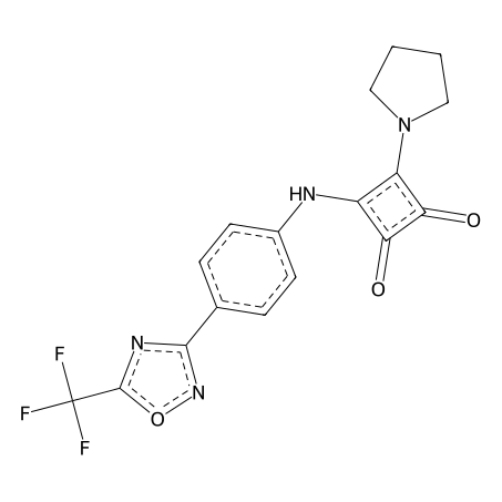 O=c1c(Nc2ccc(-c3noc(C(F)(F)F)n3)cc2)c(N2CCCC2)c1=O